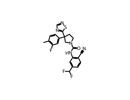 Cc1ccc(C2(c3ncns3)CCN(C(=O)Nc3cc(C(F)F)ccc3C#N)C2)cc1F